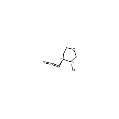 [N-]=[N+]=N[C@H]1CCOC[C@@H]1O